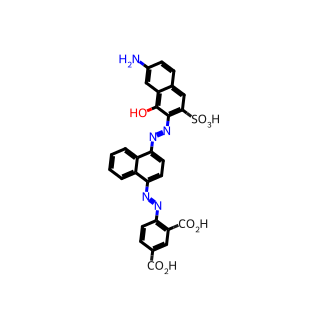 Nc1ccc2cc(S(=O)(=O)O)c(N=Nc3ccc(N=Nc4ccc(C(=O)O)cc4C(=O)O)c4ccccc34)c(O)c2c1